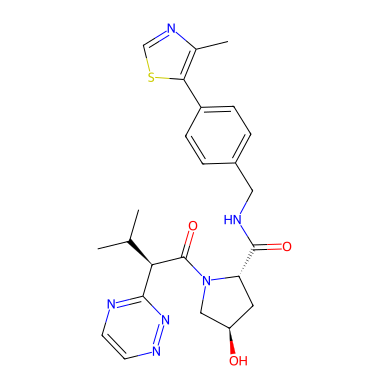 Cc1ncsc1-c1ccc(CNC(=O)[C@@H]2C[C@@H](O)CN2C(=O)[C@@H](c2nccnn2)C(C)C)cc1